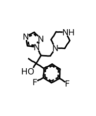 CC(O)(c1ccc(F)cc1F)C(CN1CCNCC1)n1cncn1